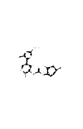 CC(=O)Nc1nc(C)c(-c2cnc(Cl)c(NC(=O)Nc3ccc(F)cc3F)c2)s1